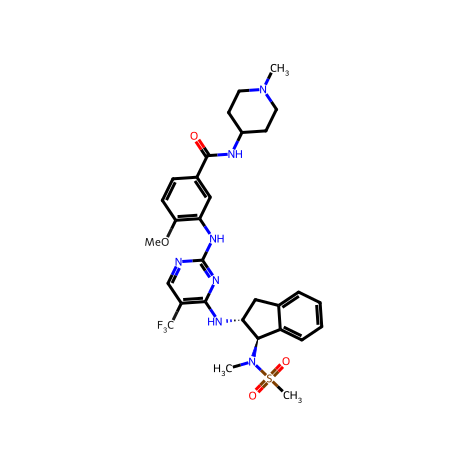 COc1ccc(C(=O)NC2CCN(C)CC2)cc1Nc1ncc(C(F)(F)F)c(N[C@@H]2Cc3ccccc3[C@H]2N(C)S(C)(=O)=O)n1